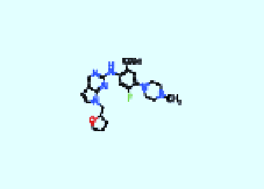 COc1cc(N2CCN(C)CC2)c(F)cc1Nc1ncc2ccn(CC3CCCO3)c2n1